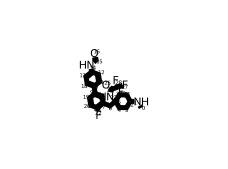 CNC1CCC(Cc2cc(-c3ccc(NC=O)cc3)ccc2F)(NC(=O)C(F)(F)F)CC1